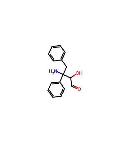 NC(Cc1ccccc1)(c1ccccc1)C(O)C=O